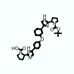 CC(C)(C)OC(=O)N1CCCC1c1nc(-c2cccc(Oc3ccc(-c4cnc(C5CCCN5C(=O)O)[nH]4)cc3)c2)c[nH]1